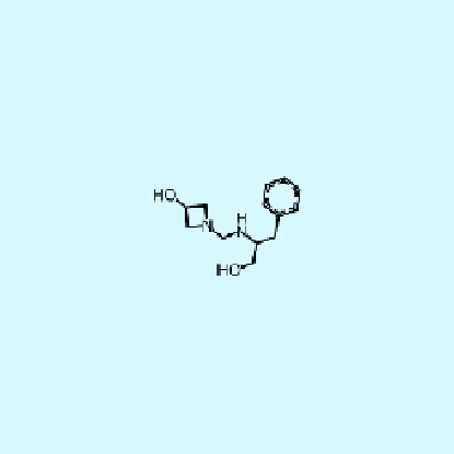 OCC(Cc1ccccc1)NCN1CC(O)C1